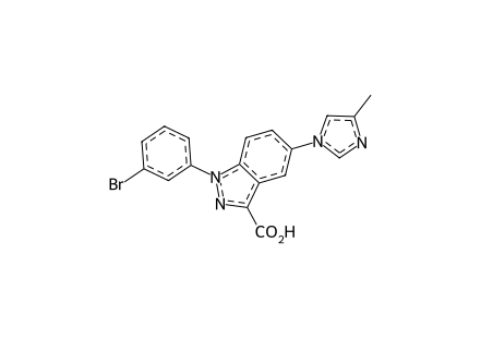 Cc1cn(-c2ccc3c(c2)c(C(=O)O)nn3-c2cccc(Br)c2)cn1